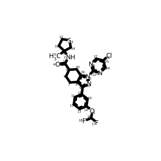 CC1(NC(=O)C2CCc3c(-c4cccc(OC(F)F)c4)nn(-c4ncc(Cl)cn4)c3C2)CCSC1